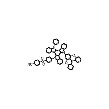 N#Cc1ccc(S(=O)(=O)c2ccc(-n3c4ccccc4c4c3c3c5ccccc5n(-c5ccccc5)c3c3c5ccccc5n(-c5cc6c7c(c5)Oc5ccccc5B7c5ccccc5O6)c34)cc2)cc1